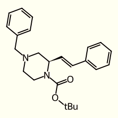 CC(C)(C)OC(=O)N1CCN(Cc2ccccc2)C[C@H]1/C=C/c1ccccc1